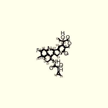 CC[C@@]1(O)C(=O)OCc2c1cc1n(c2=O)Cc2c-1nc1cc(F)c(C)c3c1c2[C@@H](NC(=O)[C@@H](O)C1CC1)CS3